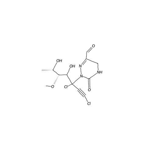 CO[C@@H](C(O)C(Cl)(C#CCl)N1N=C(C=O)CNC1=O)[C@H](C)O